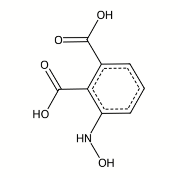 O=C(O)c1cccc(NO)c1C(=O)O